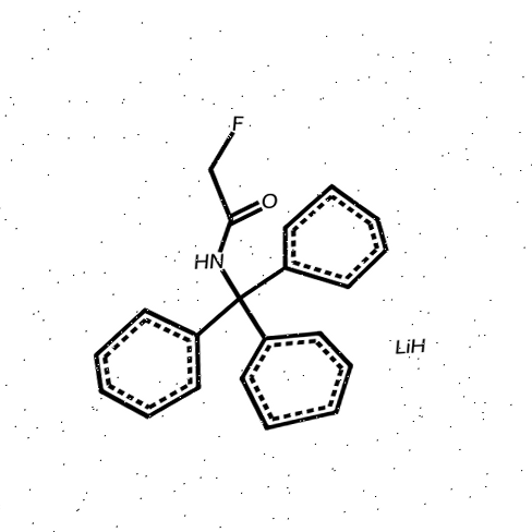 O=C(CF)NC(c1ccccc1)(c1ccccc1)c1ccccc1.[LiH]